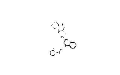 CCOC(=O)N1CCN(C(=O)C(CCC(=O)O)NC(=O)c2cc(OCC(=O)N3CCCC3C(=O)O)c3ccccc3n2)CC1